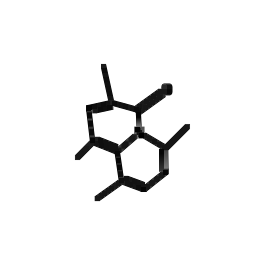 Cc1cc(C)c2c(C)ccc(C)n2c1=O